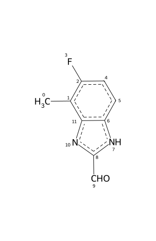 Cc1c(F)ccc2[nH]c(C=O)nc12